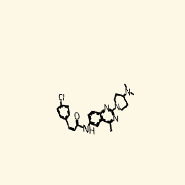 Cc1nc(N2CCC(N(C)C)CC2)nc2ccc(NC(=O)/C=C\c3ccc(Cl)cc3)cc12